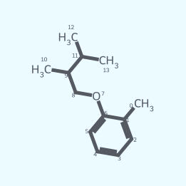 Cc1ccccc1OCC(C)C(C)C